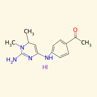 CC(=O)c1ccc(NC2=CC(C)N(C)C(N)=N2)cc1.I